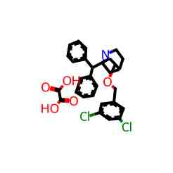 Clc1cc(Cl)cc(COC2C3CCN(CC3)C2C(c2ccccc2)c2ccccc2)c1.O=C(O)C(=O)O